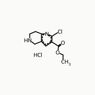 CCOC(=O)c1cc2c(nc1Cl)CCNC2.Cl